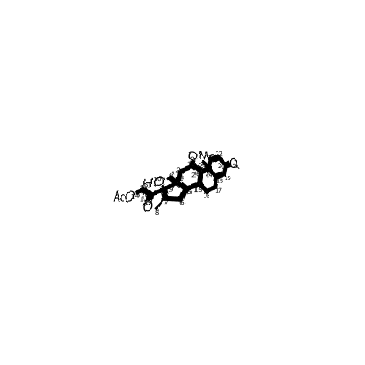 COC1CC2(C)C(C[C@@H](C)[C@]2(O)C(=O)COC(C)=O)C2CCC3=CC(=O)C=CC3(C)C12